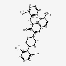 Cc1cnc2cc(N3CCC(c4c(C)cccc4F)CC3)c(=O)n(Cc3nccnc3C(F)(F)F)c2n1